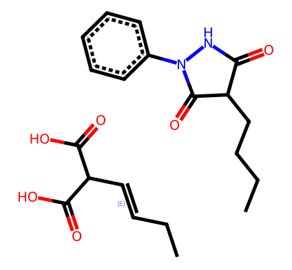 CC/C=C/C(C(=O)O)C(=O)O.CCCCC1C(=O)NN(c2ccccc2)C1=O